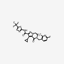 Cc1nc(F)ccc1CN1CCn2nc(C(=O)Nc3nnc(C(F)(F)F)s3)c(C3CC3)c2C1=O